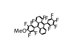 COc1c(F)c(F)c(-c2c3ccccc3c(-c3c(F)c(F)c(F)c(F)c3F)c3c(F)ccc(F)c23)c(F)c1F